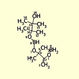 BOC(=C)C(C)(C)OBOC(C)(C)C(C)(C)O